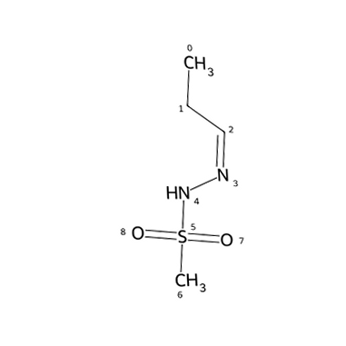 CC/C=N\NS(C)(=O)=O